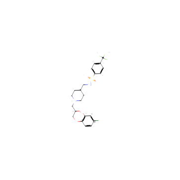 O=S(=O)(NCC1CCN(CC2COc3ccc(Cl)cc3O2)CC1)c1ccc(C(F)(F)F)cc1